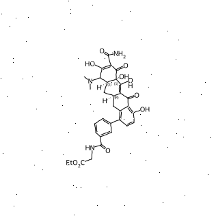 CCOC(=O)CNC(=O)c1cccc(-c2ccc(O)c3c2C[C@H]2C[C@H]4C(N(C)C)C(O)=C(C(N)=O)C(=O)[C@@]4(O)C(O)=C2C3=O)c1